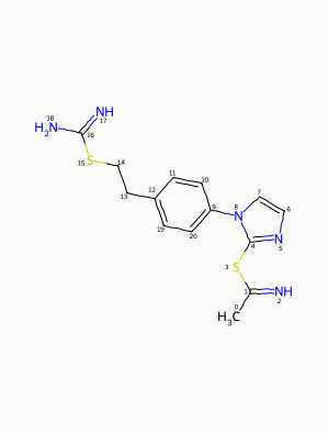 CC(=N)Sc1nccn1-c1ccc(CCSC(=N)N)cc1